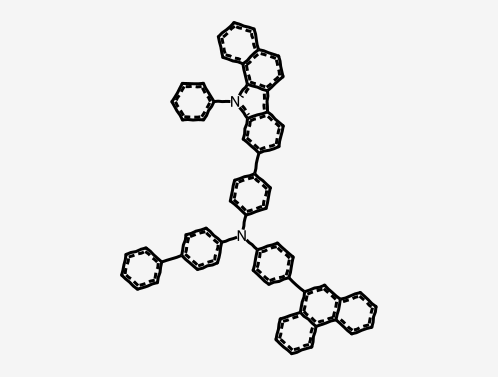 c1ccc(-c2ccc(N(c3ccc(-c4ccc5c6ccc7ccccc7c6n(-c6ccccc6)c5c4)cc3)c3ccc(-c4cc5ccccc5c5ccccc45)cc3)cc2)cc1